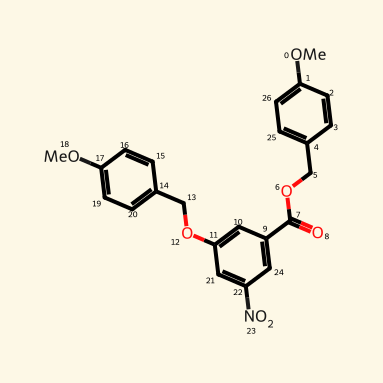 COc1ccc(COC(=O)c2cc(OCc3ccc(OC)cc3)cc([N+](=O)[O-])c2)cc1